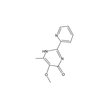 COc1c(C)[nH]c(-c2ccccn2)nc1=O